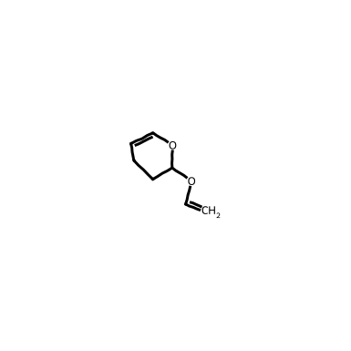 C=COC1CCC=CO1